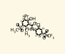 Cc1c(S(C)(=O)=O)cc(C(C)C)c(O)c1C(=O)Nc1ccc(S(=O)(=O)C(F)(F)F)cc1Cl